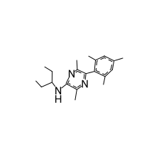 CCC(CC)Nc1nc(C)c(-c2c(C)cc(C)cc2C)nc1C